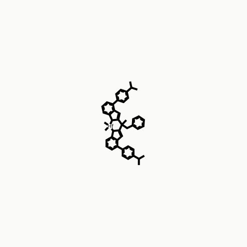 CC(C)c1ccc(-c2cccc3c2C=C2[CH]3[Hf]([CH3])([CH3])[CH]3C(=Cc4c(-c5ccc(C(C)C)cc5)cccc43)C2(C)Cc2ccccc2)cc1